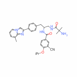 Cc1cccn2cc(-c3ccc(CC(CNC(=O)C(C)(C)N)NC(=O)c4ccc(OC(C)C)c(C#N)c4)cc3)nc12